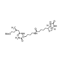 COCCN(C)CC(=O)N[C@@H](CCCCNC(=O)CCCCC1SC[C@@H]2NC(=O)N[C@H]12)C(N)=O